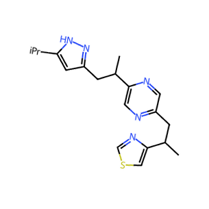 CC(C)c1cc(CC(C)c2cnc(CC(C)c3cscn3)cn2)n[nH]1